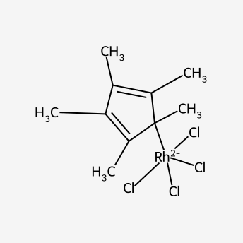 CC1=C(C)[C](C)([Rh-2]([Cl])([Cl])([Cl])[Cl])C(C)=C1C